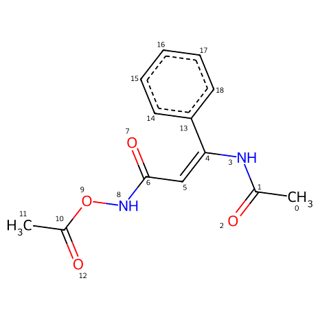 CC(=O)NC(=CC(=O)NOC(C)=O)c1ccccc1